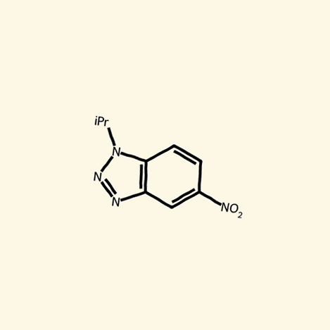 CC(C)n1nnc2cc([N+](=O)[O-])ccc21